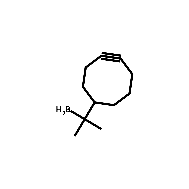 BC(C)(C)C1CCC#CCCC1